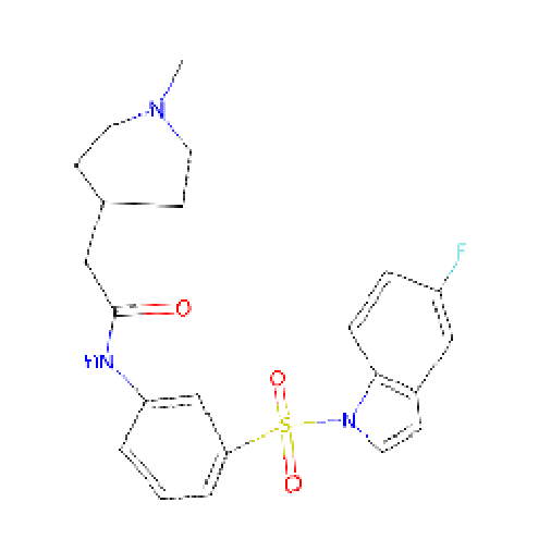 CN1CCC(CC(=O)Nc2cccc(S(=O)(=O)n3ccc4cc(F)ccc43)c2)CC1